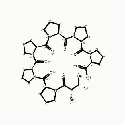 C[C@@H](O)[C@H](N)C(=O)N1CCC[C@H]1C(=O)N1CCC[C@H]1C(=O)N1CCC[C@H]1C(=O)N1CCC[C@H]1C(=O)N1CCC[C@H]1C(=O)N1CCC[C@H]1C(=O)O